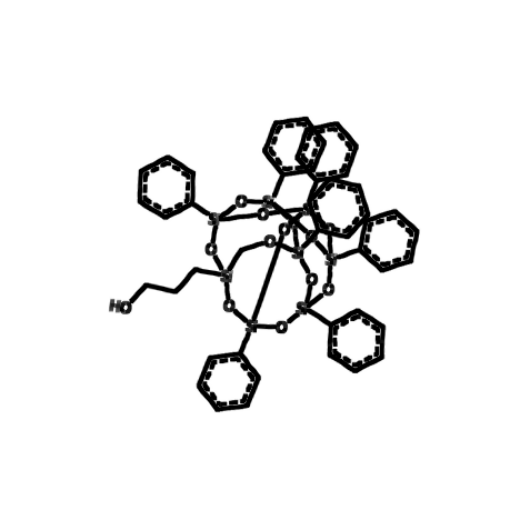 OCCC[Si]12CO[Si]3(c4ccccc4)O[Si]4(c5ccccc5)O[Si](c5ccccc5)(O1)O[Si]1(c5ccccc5)O[Si](c5ccccc5)(O2)O[Si](c2ccccc2)(O3)O[Si](c2ccccc2)(O4)O1